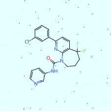 O=C(Nc1cccnc1)N1CCCC(F)(F)c2ccc(-c3cccc(Cl)c3)nc21